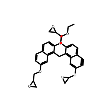 CCOCOc1ccc2ccc(OCC3CO3)cc2c1Cc1c(OCC2CO2)ccc2c#cc(OC3CO3)cc12